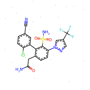 N#Cc1ccc(Cl)c(-c2c(CC(N)=O)ccc(-n3cc(C(F)(F)F)cn3)c2S(N)(=O)=O)c1